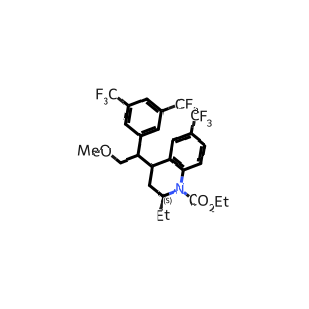 CCOC(=O)N1c2ccc(C(F)(F)F)cc2C(C(COC)c2cc(C(F)(F)F)cc(C(F)(F)F)c2)C[C@@H]1CC